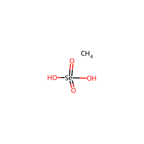 C.O=[Se](=O)(O)O